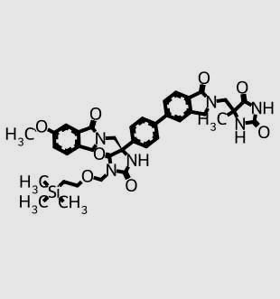 COc1ccc2c(c1)C(=O)N(C[C@@]1(c3ccc(-c4ccc5c(c4)CN(CC4(C)NC(=O)NC4=O)C5=O)cc3)NC(=O)N(COCC[Si](C)(C)C)C1=O)C2